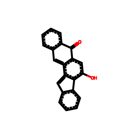 O=C1c2ccccc2C=c2c1cc(O)c1c2=Cc2ccccc2-1